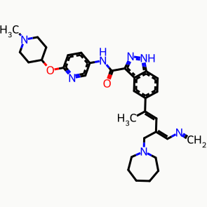 C=N/C=C(\C=C(/C)c1ccc2[nH]nc(C(=O)Nc3ccc(OC4CCN(C)CC4)nc3)c2c1)CN1CCCCCC1